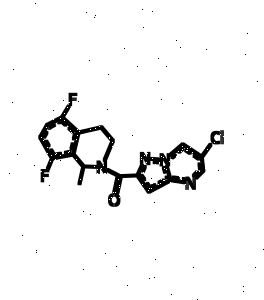 CC1c2c(F)ccc(F)c2CCN1C(=O)c1cc2ncc(Cl)cn2n1